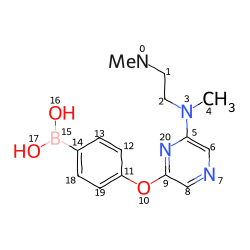 CNCCN(C)c1cncc(Oc2ccc(B(O)O)cc2)n1